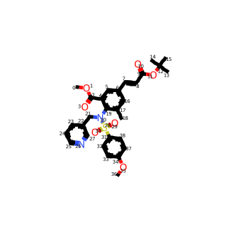 COC(=O)c1cc(C=CC(=O)OC(C)(C)C)cc(C)c1N(Cc1cccnc1)S(=O)(=O)c1ccc(OC)cc1